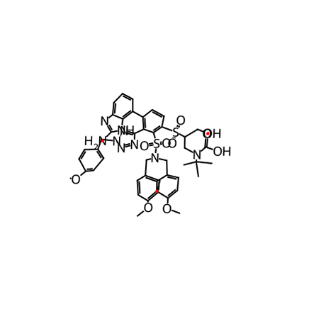 COc1ccc(CN(Cc2ccc(OC)cc2)S(=O)(=O)c2c(S(=O)(=O)C(CO)CN(C(=O)O)C(C)(C)C)ccc(-c3cccc4nc(N)[nH]c34)c2-c2nnn(Cc3ccc(OC)cc3)n2)cc1